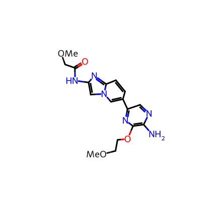 COCCOc1nc(-c2ccc3nc(NC(=O)COC)cn3c2)cnc1N